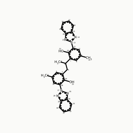 Cc1cc(CC(C)c2cc(C)cc(-n3nc4ccccc4n3)c2O)c(O)c(-n2nc3ccccc3n2)c1